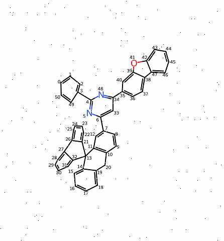 c1ccc(-c2nc(-c3ccc4c(c3)C3(c5ccccc5C4)c4ccccc4-c4ccccc43)cc(-c3ccc4c(c3)oc3ccccc34)n2)cc1